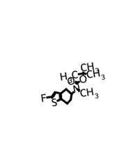 CN(C(=O)OC(C)(C)C)C1CCc2sc(F)cc2C1